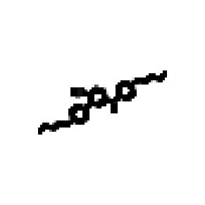 CCCCCc1ccc(Nc2ccc(N)c(-c3ccc(CCCCC)cc3)c2)cc1